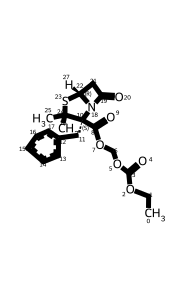 CCOC(=O)OCOC(=O)[C@]1(Cc2ccccc2)N2C(=O)C[C@H]2SC1(C)C